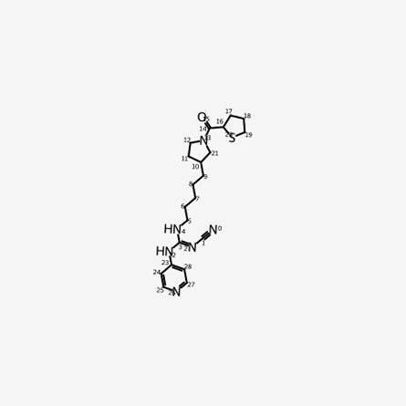 N#CN=C(NCCCCCC1CCN(C(=O)C2CCCS2)C1)Nc1ccncc1